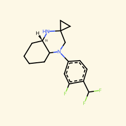 Fc1cc(N2CC3(CC3)N[C@H]3CCCCC32)ccc1C(F)F